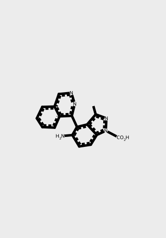 Cc1nn(C(=O)O)c2ccc(N)c(-c3nncc4ccccc34)c12